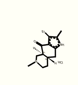 CCc1c(C)[nH]c2c1C(=O)[C@@H]1CN(C)CC[C@H]1C2.Cl